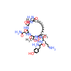 C[C@@H](O)[C@@H]1NC(=O)[C@@](C)(NC(=O)[C@H](CCCCN)NC(=O)[C@@H](N)Cc2ccc(O)cc2)CCCCCCCC[C@@](C)(C(N)=O)NC(=O)[C@H](CO)NC(=O)[C@H](CCC(N)=O)NC1=O